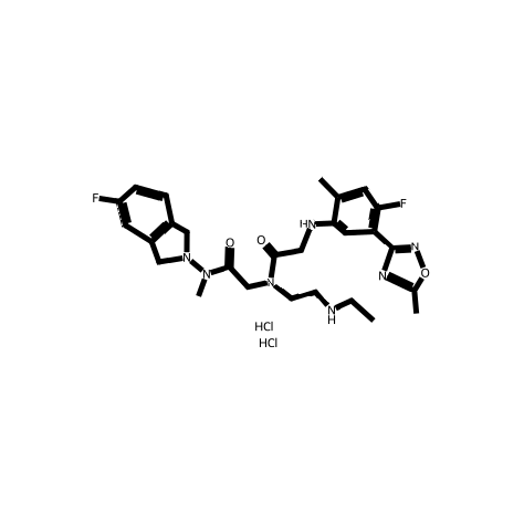 CCNCCN(CC(=O)N(C)N1Cc2ccc(F)cc2C1)C(=O)CNc1cc(-c2noc(C)n2)c(F)cc1C.Cl.Cl